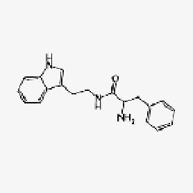 NC(Cc1ccccc1)C(=O)NCCc1c[nH]c2ccccc12